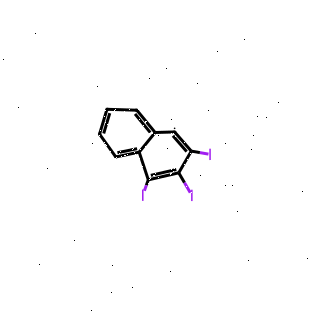 Ic1[c]c2ccccc2c(I)c1I